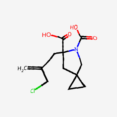 C=C(CCl)CC1(C(=O)O)CC2(CC2)CN1C(=O)O